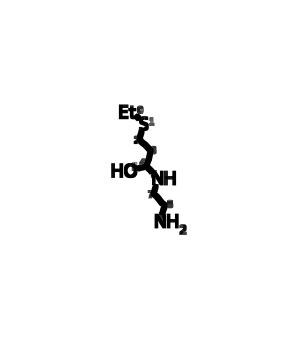 CCSCCC(O)NCCN